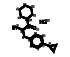 CC(C)C(Cc1ccc(C2CC2)cc1)C(=O)N1CCCCC1.Cl